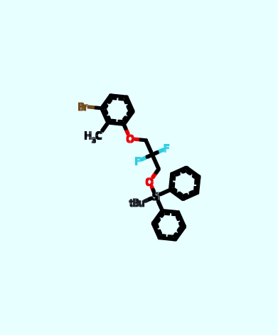 Cc1c(Br)cccc1OCC(F)(F)CO[Si](c1ccccc1)(c1ccccc1)C(C)(C)C